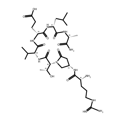 CC(C)C[C@@H](NC(=O)[C@@H](CCC(=O)O)NC(=O)[C@H](NC(=O)[C@@H]([C@@H](C)O)N1C[C@@H](NC(=O)[C@H](N)CCCNC(=N)N)CC1=O)C(C)C)C(=O)N[C@H](C)C(N)=O